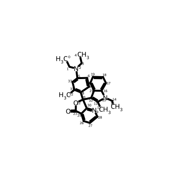 CCN(CC)c1ccc(C2(c3c(C)n(CC)c4ccccc34)OC(=O)c3cccnc32)c(C)c1